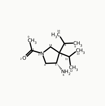 CC(=O)N1C[C@@H](N)C(C(C)C)(C(C)C)C1